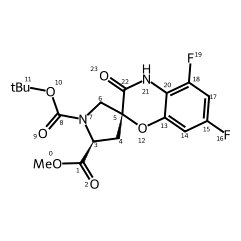 COC(=O)[C@@H]1C[C@]2(CN1C(=O)OC(C)(C)C)Oc1cc(F)cc(F)c1NC2=O